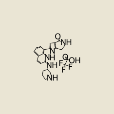 O=C(O)C(F)(F)F.O=C1NCCc2[nH]c(-c3cccc4ccc(N[C@H]5CCCNC5)nc34)cc21